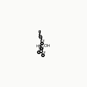 COCCN1CCN(CCc2cc(Nc3ncc4c(n3)-c3ccccc3[C@H](c3ccccc3F)C4)ccc2F)CC1.Cl